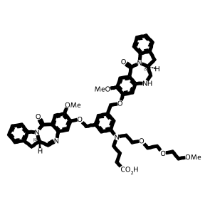 COCCOCCOCCN(CCCC(=O)O)c1cc(COc2cc3c(cc2OC)C(=O)N2c4ccccc4C[C@H]2C=N3)cc(COc2cc3c(cc2OC)C(=O)N2c4ccccc4C[C@H]2CN3)c1